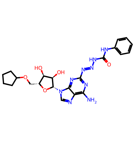 Nc1nc(N=NNC(=O)Nc2ccccc2)nc2c1ncn2[C@@H]1O[C@H](COC2CCCC2)[C@@H](O)[C@H]1O